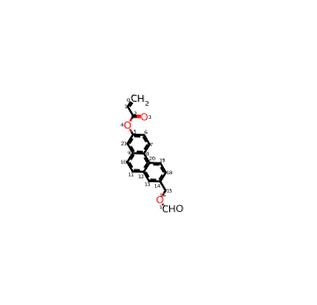 C=CC(=O)Oc1ccc2c(ccc3cc(COC=O)ccc32)c1